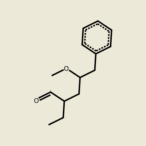 CCC([C]=O)CC(Cc1ccccc1)OC